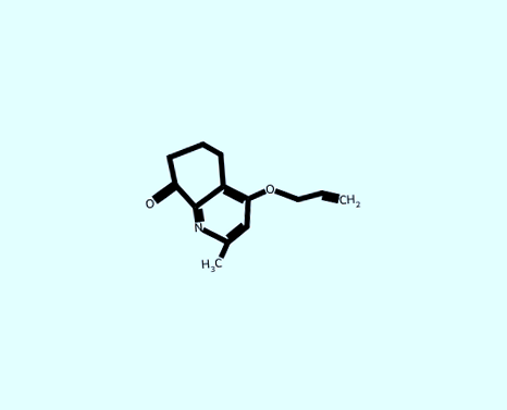 C=CCOc1cc(C)nc2c1CCCC2=O